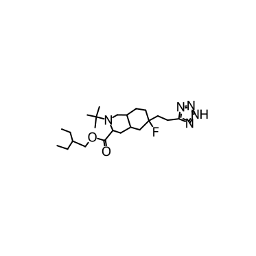 CCC(CC)COC(=O)C1CC2CC(F)(CCc3nn[nH]n3)CCC2CN1C(C)(C)C